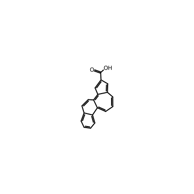 O=C(O)c1cc2cccc3c(ccc4ccccc43)c-2c1